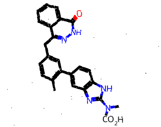 Cc1ccc(Cc2n[nH]c(=O)c3ccccc23)cc1-c1ccc2[nH]c(N(C)C(=O)O)nc2c1